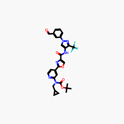 CC(C)(C)OC(=O)N(CC1CC1)c1cc(-c2nc(C(=O)Nc3cn(-c4cccc(C=O)c4)nc3C(F)(F)F)co2)ccn1